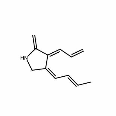 C=C/C=C1/C(=C)NC/C1=C/C=C/C